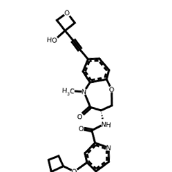 CN1C(=O)[C@@H](NC(=O)c2cc(OC3CCC3)ccn2)COc2ccc(C#CC3(O)COC3)cc21